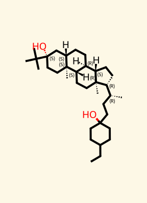 CCC1CCC(O)(CC[C@@H](C)[C@H]2CC[C@H]3[C@@H]4CC[C@H]5C[C@](O)(C(C)(C)C)CC[C@]5(C)[C@H]4CC[C@]23C)CC1